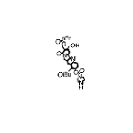 CCCC(=O)OCc1c(CO)cc2n(c1=O)Cc1cc3c(COCC(C)C)c(OC(=O)N4CCNCC4)ccc3nc1-2